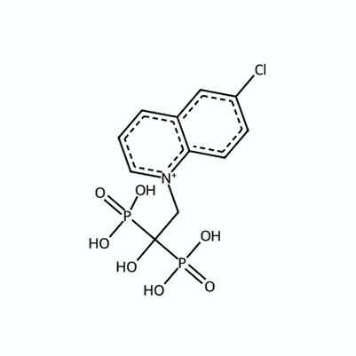 O=P(O)(O)C(O)(C[n+]1cccc2cc(Cl)ccc21)P(=O)(O)O